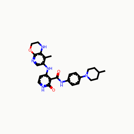 Cc1c(Nc2cc[nH]c(=O)c2C(=O)Nc2ccc(N3CCC(C)CC3)cc2)cnc2c1NCCO2